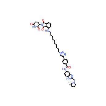 C[C@H]1CCCN1Cc1nc2cc(NC(=O)c3ccc(-c4cn(CCCCCCCCCCNc5cccc6c5C(=O)N(C5CCC(=O)NC5=O)C6=O)nn4)cc3)ccc2[nH]1